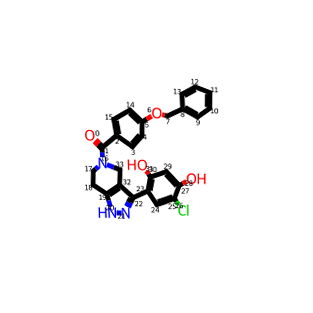 O=C(c1ccc(OCc2ccccc2)cc1)N1CCc2[nH]nc(-c3cc(Cl)c(O)cc3O)c2C1